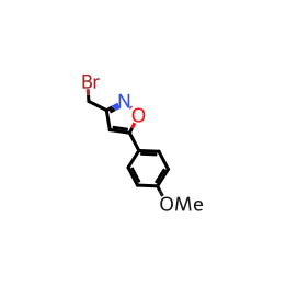 COc1ccc(-c2cc(CBr)no2)cc1